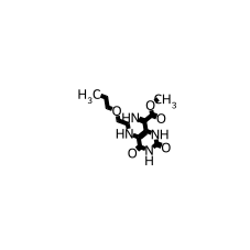 CCCOCCNc1c(C(=N)C(=O)OC)[nH]c(=O)[nH]c1=O